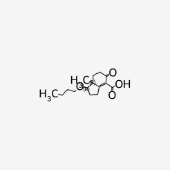 CCCCO[C@@H]1CCC2=C(C(=O)O)C(=O)CC[C@]21C